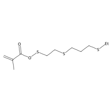 C=C(C)C(=O)OSCCSCCCSCC